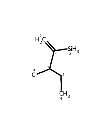 C=C([SiH3])C(Cl)CC